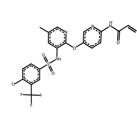 C=CC(=O)Nc1ccc(Oc2ncc(C)cc2NS(=O)(=O)c2ccc(Cl)c(C(F)(F)F)c2)cn1